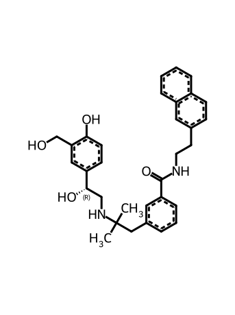 CC(C)(Cc1cccc(C(=O)NCCc2ccc3ccccc3c2)c1)NC[C@H](O)c1ccc(O)c(CO)c1